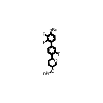 CCCCc1ccc(-c2ccc(C3CCC(OCCC)CO3)c(F)c2)c(F)c1F